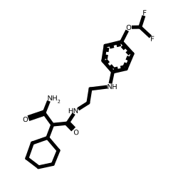 NC(=O)C(C(=O)NCCNc1ccc(OC(F)F)cc1)C1CCCCC1